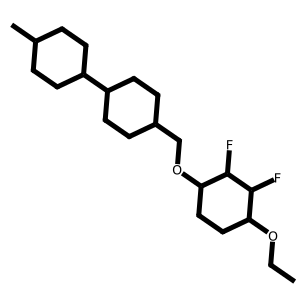 CCOC1CCC(OCC2CCC(C3CCC(C)CC3)CC2)C(F)C1F